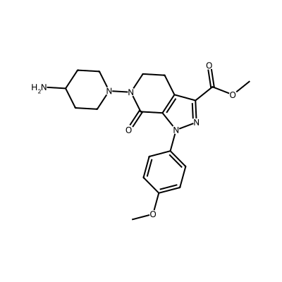 COC(=O)c1nn(-c2ccc(OC)cc2)c2c1CCN(N1CCC(N)CC1)C2=O